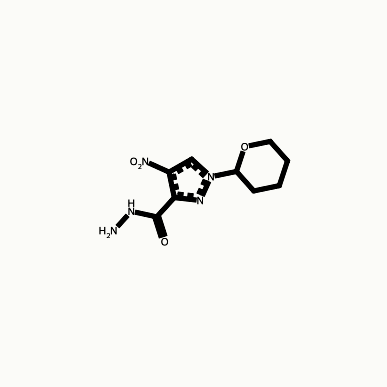 NNC(=O)c1nn(C2CCCCO2)cc1[N+](=O)[O-]